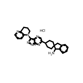 Cl.NC1c2ccccc2CC12CCC(c1cnc3c(N4CCCc5ncccc54)n[nH]c3n1)CC2